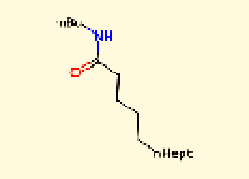 CCC[CH]NC(=O)CCCCCCCCCCC